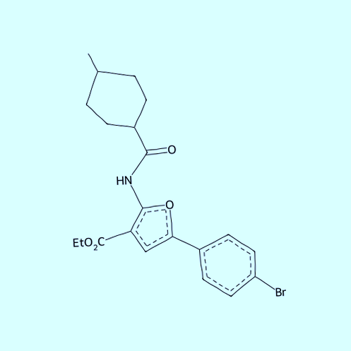 CCOC(=O)c1cc(-c2ccc(Br)cc2)oc1NC(=O)C1CCC(C)CC1